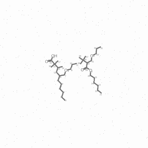 CCCCCCC(COCCC)CC(C)C(C)(C)C(=O)O.CCCCCCOC(=O)C(COCCC)C(C)(C)C